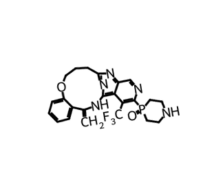 C=C1Nc2nc(nc3cnc(P4(=O)CCNCC4)c(C(F)(F)F)c23)CCCOc2ccccc21